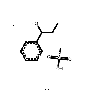 CCC(O)c1ccccc1.CS(=O)(=O)O